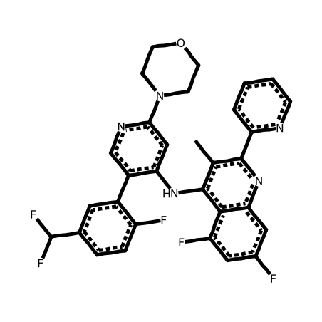 Cc1c(-c2ccccn2)nc2cc(F)cc(F)c2c1Nc1cc(N2CCOCC2)ncc1-c1cc(C(F)F)ccc1F